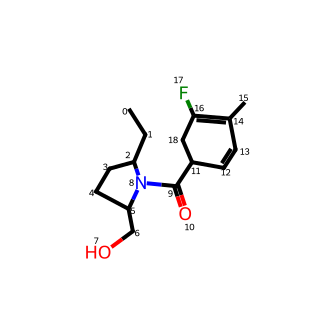 CCC1CCC(CO)N1C(=O)C1C=CC(C)=C(F)C1